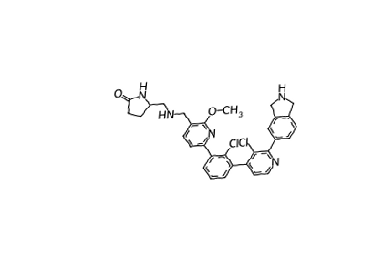 COc1nc(-c2cccc(-c3ccnc(-c4ccc5c(c4)CNC5)c3Cl)c2Cl)ccc1CNCC1CCC(=O)N1